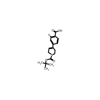 CC(C)(C)OC(=O)N1CC=C(c2ccc(C(=O)O)c(F)c2)CC1